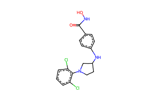 O=C(NO)c1ccc(NC2CCN(c3c(Cl)cccc3Cl)C2)cc1